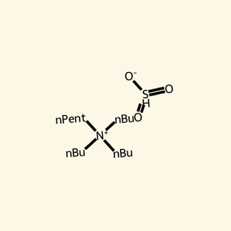 CCCCC[N+](CCCC)(CCCC)CCCC.O=[SH](=O)[O-]